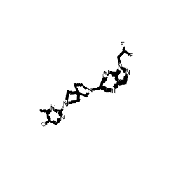 Cc1nc(N2CC3(CCN(c4cnc5cnn(CC(F)F)c5n4)C3)C2)ncc1Cl